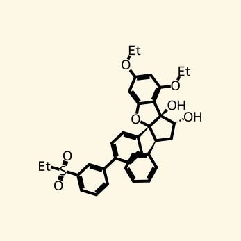 CCOc1cc(OCC)c2c(c1)O[C@@]1(c3ccc(-c4cccc(S(=O)(=O)CC)c4)cc3)[C@H](c3ccccc3)C[C@@H](O)[C@@]21O